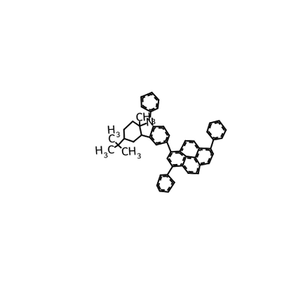 CC(C)(C)C1CCC2(C)C(C1)c1cc(-c3cc(-c4ccccc4)c4ccc5ccc(-c6ccccc6)c6ccc3c4c56)ccc1N2c1ccccc1